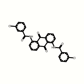 O=C(Nc1cccc2c1C(=O)c1cccc(NC(=O)c3cccc(Cl)c3)c1C2=O)c1cccc(Cl)c1